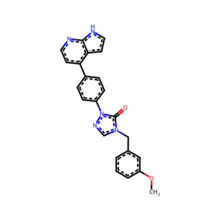 COc1cccc(Cn2cnn(-c3ccc(-c4ccnc5[nH]ccc45)cc3)c2=O)c1